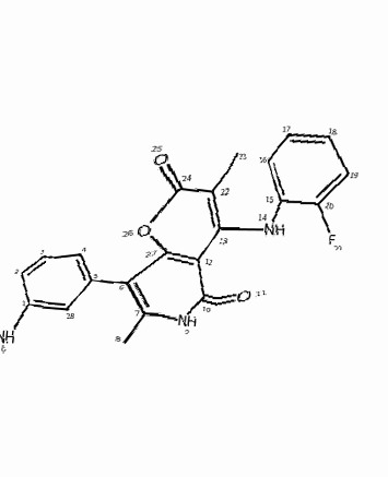 CC(=O)Nc1cccc(-c2c(C)[nH]c(=O)c3c(Nc4ccccc4F)c(C)c(=O)oc23)c1